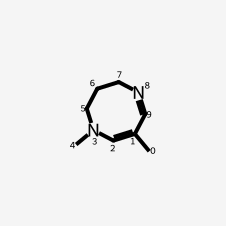 CC1=CN(C)CCCN=C1